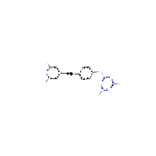 O=C(O)c1cc(C#Cc2ccc(Nc3nc(Cl)nc(Cl)n3)cc2)cc(C(=O)O)n1